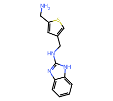 NCc1cc(CNc2nc3ccccc3[nH]2)cs1